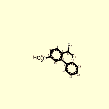 O=C(O)c1ccc(C(F)F)c(-c2ccccc2)c1